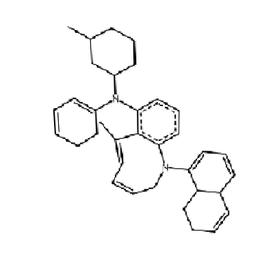 C/C1=C\C=C/CN(C2=CC=CC3C=CCCC23)c2cccc(N(C3=CC=CCC3)C3CCCC(C)C3)c21